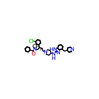 CN(CC(CCN1CCC(Nc2nc3c(Cc4ccncc4)cccc3[nH]2)CC1)c1cccc(Cl)c1)C(=O)c1ccccc1